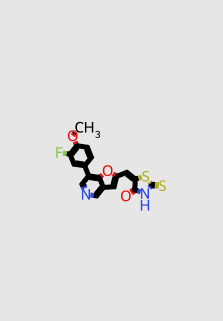 COc1ccc(-c2cncc3cc(/C=C4/SC(=S)NC4=O)oc23)cc1F